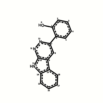 Oc1ccccc1-c1cc2c(nn1)[nH]c1ccccc12